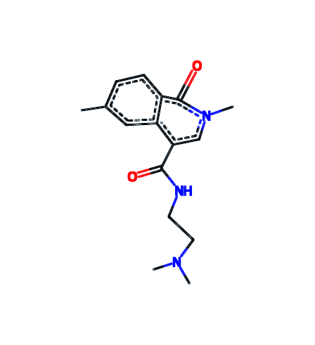 Cc1ccc2c(=O)n(C)cc(C(=O)NCCN(C)C)c2c1